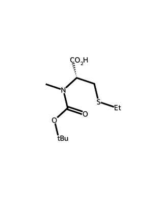 CCSC[C@@H](C(=O)O)N(C)C(=O)OC(C)(C)C